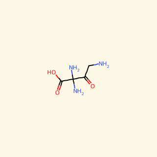 NCC(=O)C(N)(N)C(=O)O